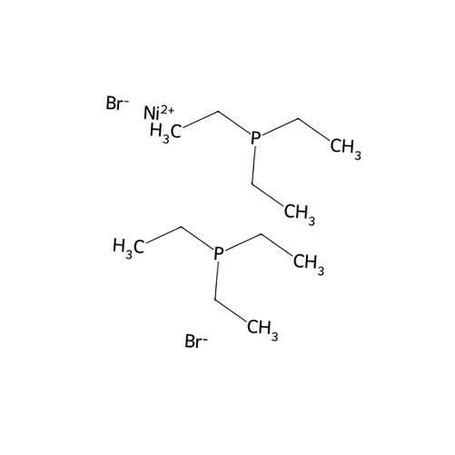 CCP(CC)CC.CCP(CC)CC.[Br-].[Br-].[Ni+2]